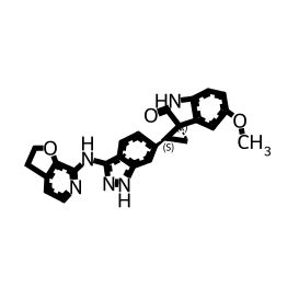 COc1ccc2c(c1)[C@]1(C[C@H]1c1ccc3c(Nc4nccc5c4OCC5)n[nH]c3c1)C(=O)N2